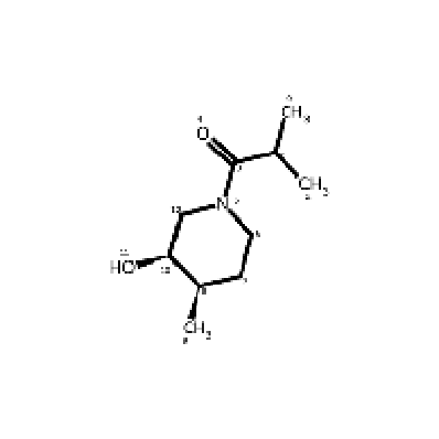 CC(C)C(=O)N1CC[C@@H](C)[C@@H](O)C1